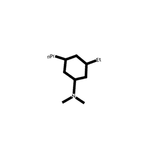 CCCC1CC(CC)CC(N(C)C)C1